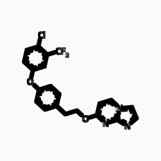 FC(F)(F)c1cc(Oc2ccc(CCOc3ccn4ccnc4n3)cc2)ccc1Cl